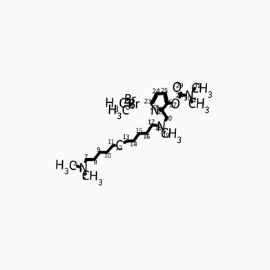 CBr.CBr.CN(C)CCCCCCCCCCCN(C)Cc1ncccc1OC(=O)N(C)C